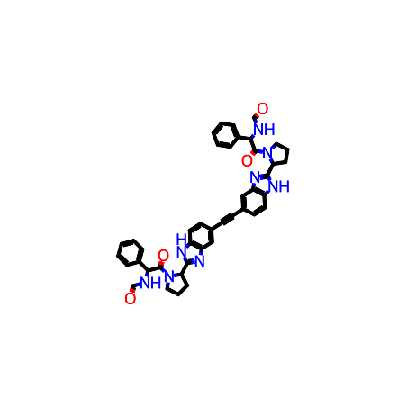 O=CNC(C(=O)N1CCCC1c1nc2cc(C#Cc3ccc4[nH]c(C5CCCN5C(=O)C(NC=O)c5ccccc5)nc4c3)ccc2[nH]1)c1ccccc1